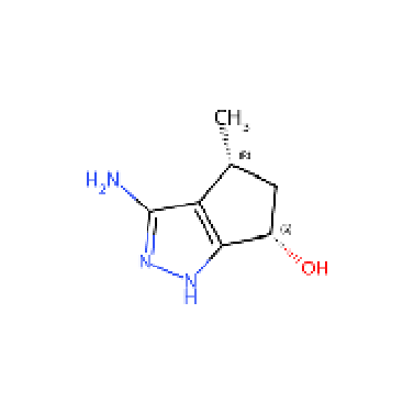 C[C@@H]1C[C@H](O)c2[nH]nc(N)c21